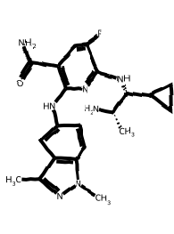 Cc1nn(C)c2ccc(Nc3nc(N[C@H](C4CC4)[C@H](C)N)c(F)cc3C(N)=O)cc12